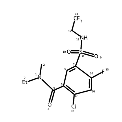 CCN(C)C(=O)c1cc(S(=O)(=O)NCC(F)(F)F)c(F)cc1Cl